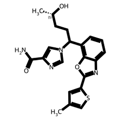 Cc1csc(-c2nc3cccc(C(CC[C@H](C)O)n4cnc(C(N)=O)c4)c3o2)c1